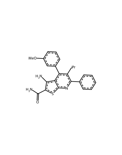 COc1cccc(-c2c(C(C)C)c(-c3ccccc3)nc3sc(C(N)=O)c(N)c23)c1